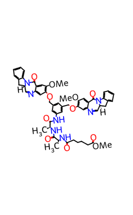 COC(=O)CCCCC(=O)N[C@@H](C)C(=O)N[C@@H](C)C(=O)Nc1cc(COc2cc3c(cc2OC)C(=O)N2c4ccccc4C[C@H]2C=N3)cc(COc2cc3c(cc2OC)C(=O)N2c4ccccc4C[C@H]2C=N3)c1